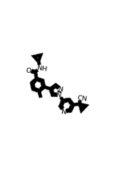 Cc1ccc(C(=O)NC2CC2)cc1-c1cnn(-c2cncc(C3(C#N)CC3)c2)c1